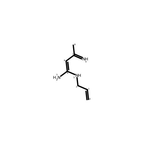 C=CCN/C(N)=C\C(C)=N